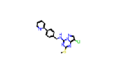 CSc1nc(NCc2ccc(-c3ccccn3)cc2)n2ncc(Cl)c2n1